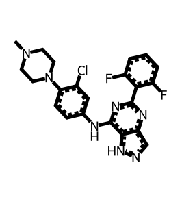 CN1CCN(c2ccc(Nc3nc(-c4c(F)cccc4F)nc4cn[nH]c34)cc2Cl)CC1